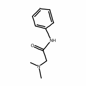 CN(C)CC(=O)Nc1cc[c]cc1